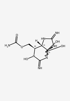 N=C1N[C@H]2[C@H](COC(N)=O)N(O)C(=N)N3CCC(O)(O)[C@]23N1